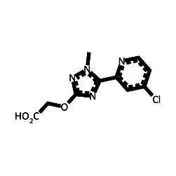 Cn1nc(OCC(=O)O)nc1-c1cc(Cl)ccn1